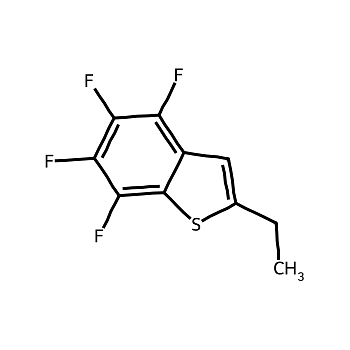 CCc1cc2c(F)c(F)c(F)c(F)c2s1